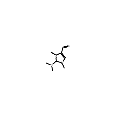 CN(C)C1N(C)C=C(C=O)N1C